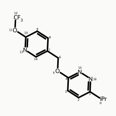 CC(C)c1ccc(OCc2ccc(OC(F)(F)F)nc2)nn1